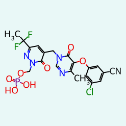 Cc1ncn(Cc2cc(C(C)(F)F)nn(COP(=O)(O)O)c2=O)c(=O)c1Oc1cc(Cl)cc(C#N)c1